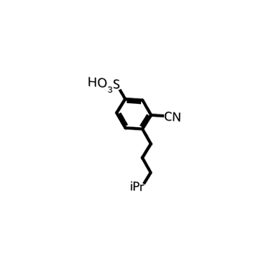 CC(C)CCCc1ccc(S(=O)(=O)O)cc1C#N